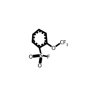 O=S(=O)(F)c1ccccc1OC(F)(F)F